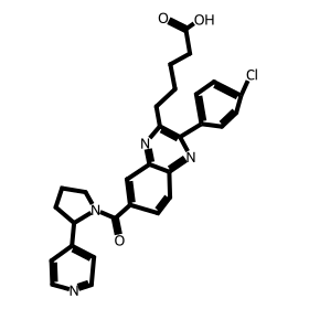 O=C(O)CCCCc1nc2cc(C(=O)N3CCCC3c3ccncc3)ccc2nc1-c1ccc(Cl)cc1